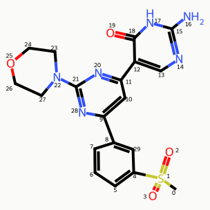 CS(=O)(=O)c1cccc(-c2cc(-c3cnc(N)[nH]c3=O)nc(N3CCOCC3)n2)c1